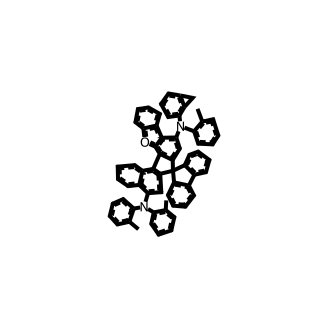 Cc1ccccc1N(c1ccccc1C)c1cc2c(c3ccccc13)-c1c(cc(N(c3ccccc3C)c3cccc4c3C4)c3c1oc1ccccc13)C21c2ccccc2-c2ccccc21